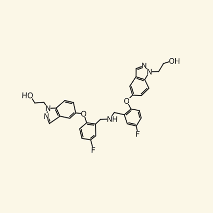 OCCn1ncc2cc(Oc3ccc(F)cc3CNCc3cc(F)ccc3Oc3ccc4c(cnn4CCO)c3)ccc21